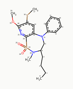 CCCCC1CN(c2ccccc2)c2cc(SC)c(OC)nc2S(=O)(=O)N1C